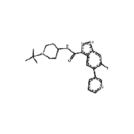 CC(C)(C)N1CCC(NC(=O)c2n[nH]c3cc(F)c(-c4cccnc4)cc23)CC1